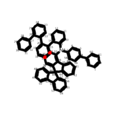 c1ccc(-c2ccc(N(c3ccccc3-c3ccccc3-c3ccccc3-c3ccccc3)c3cccc4c3-c3ccccc3C43c4ccccc4-c4ccccc43)cc2)cc1